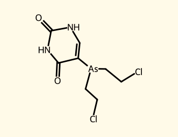 O=c1[nH]cc([As](CCCl)CCCl)c(=O)[nH]1